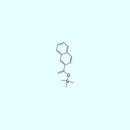 C=C(O[Si](C)(C)C)c1ccc2ccccc2c1